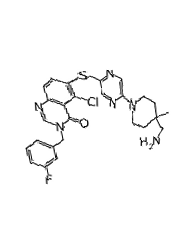 CC1(CN)CCN(c2cnc(Sc3ccc4ncn(Cc5cccc(F)c5)c(=O)c4c3Cl)cn2)CC1